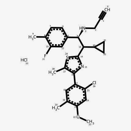 C#CCN[C@H](c1ccc(C)c(F)c1)C(c1nc(-c2cc(C)c(OC)cc2Cl)c(C)s1)C1CC1.Cl